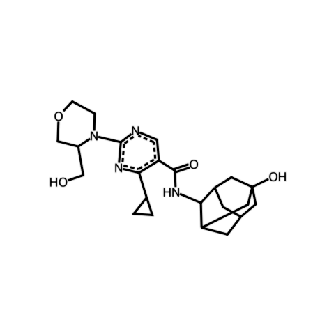 O=C(NC1C2CC3CC1CC(O)(C3)C2)c1cnc(N2CCOCC2CO)nc1C1CC1